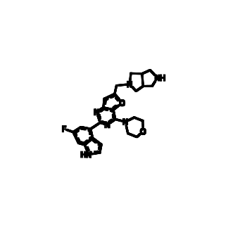 Fc1cc(-c2nc(N3CCOCC3)c3oc(CN4CC5CNCC5C4)cc3n2)c2cc[nH]c2c1